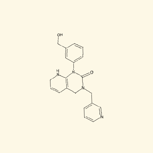 O=C1N(Cc2cccnc2)CC2=C(NCC=C2)N1c1cccc(CO)c1